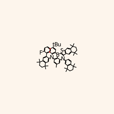 Cc1cc2c3c(c1)N(c1ccc4c(c1)C(C)(C)CCC4(C)C)c1c(sc4cc5c(cc14)C(C)(C)CCC5(C)C)B3c1cc(C(C)(C)C)ccc1N2c1cc2c(cc1-c1ccccc1F)C(C)(C)CCC2(C)C